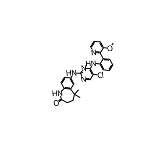 COc1cccnc1-c1ccccc1Nc1nc(Nc2ccc3c(c2)C(C)(C)CCC(=O)N3)ncc1Cl